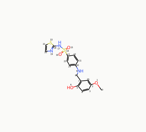 COc1ccc(O)c(CNc2ccc(S(=O)(=O)Nc3nccs3)cc2)c1